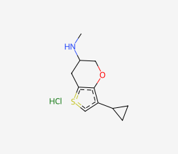 CNC1COc2c(C3CC3)csc2C1.Cl